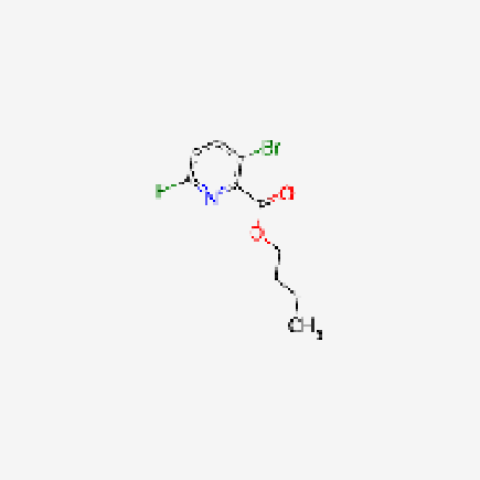 CCCCOC(=O)c1nc(F)ccc1Br